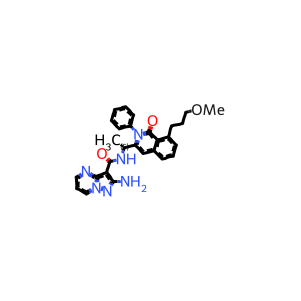 COCCCc1cccc2cc([C@H](C)NC(=O)c3c(N)nn4cccnc34)n(-c3ccccc3)c(=O)c12